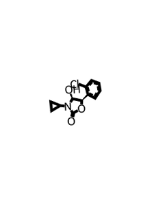 O=C1O[C@H](c2ccccc2Cl)[C@H](O)N1C1CC1